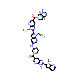 CCn1c(-c2nc3cc(C(=O)N4CCC[C@@H](Nc5cnc6c(c5)cc(-c5nc7cc(C(=O)N8CC[C@H]9CCN[C@H]9C8)cnc7n5C)n6CC(F)(F)F)C4)cnc3n2CC)cc2cccnc21